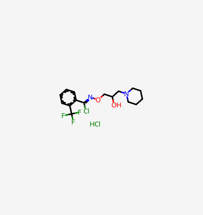 Cl.OC(CON=C(Cl)c1ccccc1C(F)(F)F)CN1CCCCC1